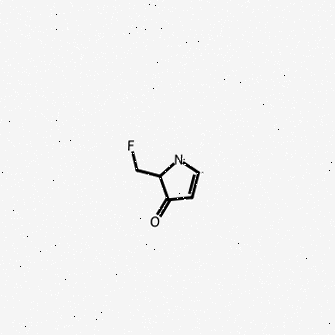 O=C1C=[C][N]C1CF